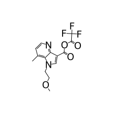 COCCn1cc(C(=O)OC(=O)C(F)(F)F)c2nccc(C)c21